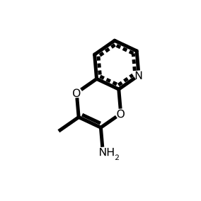 CC1=C(N)Oc2ncccc2O1